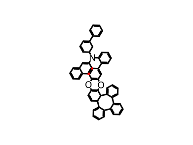 C1=CC(N(c2ccc3ccccc3c2)c2ccccc2-c2ccc3c(c2)OC2=C(C=CC4c5ccccc5-c5ccccc5-c5ccccc5C24)O3)CC(c2ccccc2)=C1